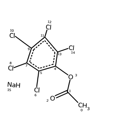 CC(=O)Oc1c(Cl)c(Cl)c(Cl)c(Cl)c1Cl.[NaH]